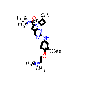 CCC1(n2c(C(=O)N(C)C)cc3cnc(Nc4ccc(OCCN(C)C)c(OC)c4)nc32)CC[C@H]1C